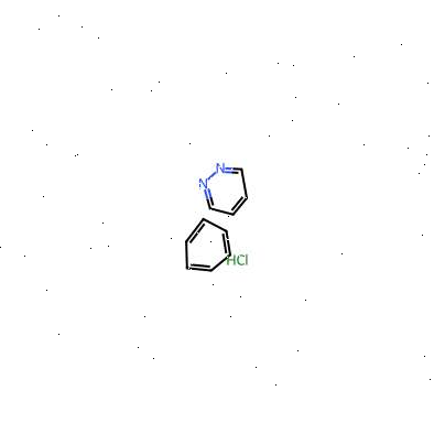 Cl.c1ccccc1.c1ccnnc1